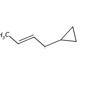 C/C=C/[CH]C1CC1